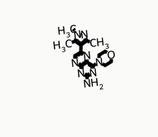 Cc1nn(C)c(C)c1-c1cnc2nc(N)nc(N3CCOCC3)c2n1